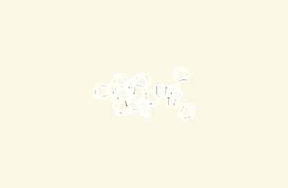 C1=C(c2ccccc2)N=C(c2ccc3c(c2)oc2cccc(-n4c5ccccc5c5ccc6c7ccccc7n(-c7ccccc7)c6c54)c23)NC1c1ccccc1